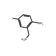 NCc1cc(I)ccc1N